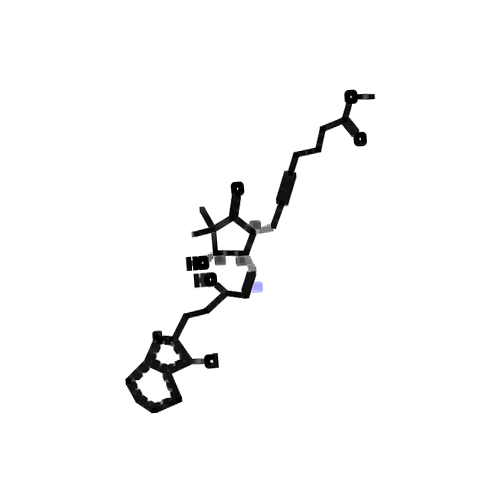 COC(=O)CCCC#CC[C@H]1C(=O)C(C)(C)[C@@H](O)[C@H]1/C=C\C(O)CCc1sc2ccccc2c1Cl